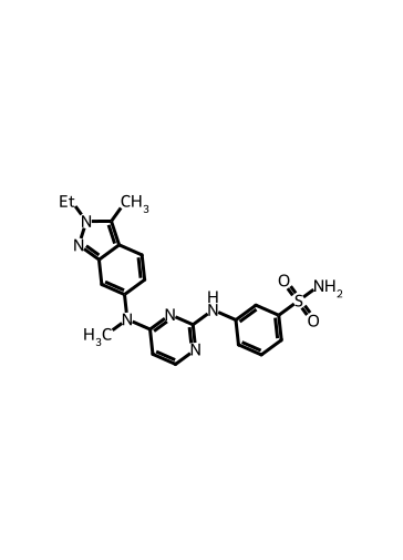 CCn1nc2cc(N(C)c3ccnc(Nc4cccc(S(N)(=O)=O)c4)n3)ccc2c1C